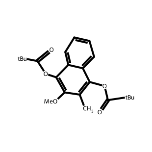 COc1c(C)c(OC(=O)C(C)(C)C)c2ccccc2c1OC(=O)C(C)(C)C